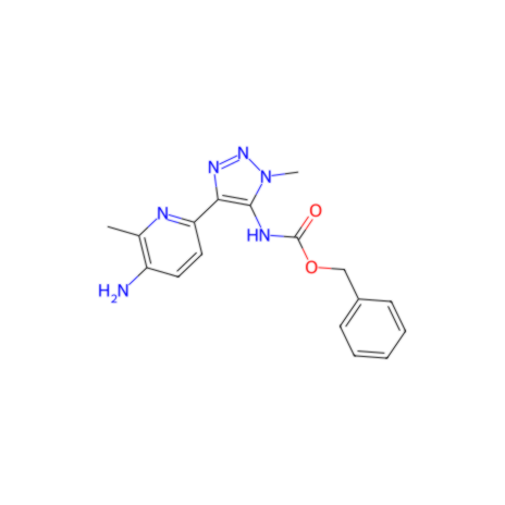 Cc1nc(-c2nnn(C)c2NC(=O)OCc2ccccc2)ccc1N